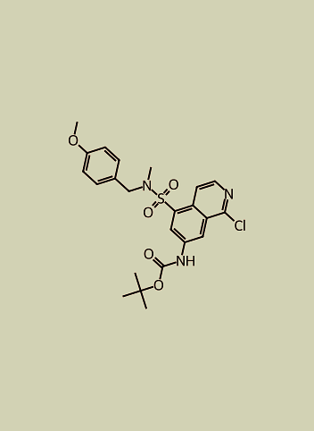 COc1ccc(CN(C)S(=O)(=O)c2cc(NC(=O)OC(C)(C)C)cc3c(Cl)nccc23)cc1